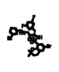 CCc1cccc(CNC[C@H](O)[C@H](Cc2cc(F)cc(F)c2)NC(=O)c2cc(Br)cc3c2OC(C)(C)CC3)c1